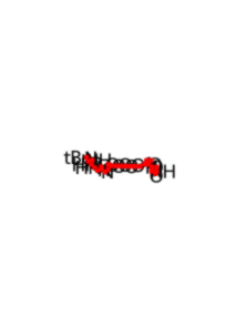 CC(C)(C)c1cc(NC(=O)Nc2ccc(-n3cnc4cc(OCCOCCOCCOCCOCC#Cc5cccc6c5CN(C5CCC(=O)NC5=O)C6=O)ccc43)cc2)[nH]n1